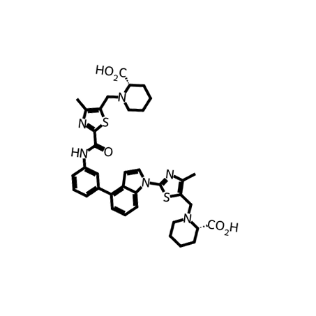 Cc1nc(C(=O)Nc2cccc(-c3cccc4c3ccn4-c3nc(C)c(CN4CCCC[C@H]4C(=O)O)s3)c2)sc1CN1CCCC[C@H]1C(=O)O